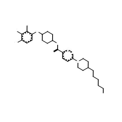 Cc1c(OC2CCC(NC(=O)c3ccc(N4CCC(CCCCCC=O)CC4)nn3)CC2)ccc(C#N)c1Cl